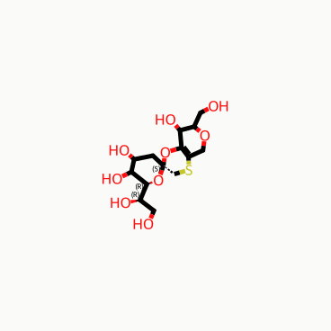 OCC1OCC2=C(O[C@]3(CS2)CC(O)C(O)[C@@H]([C@H](O)CO)O3)C1O